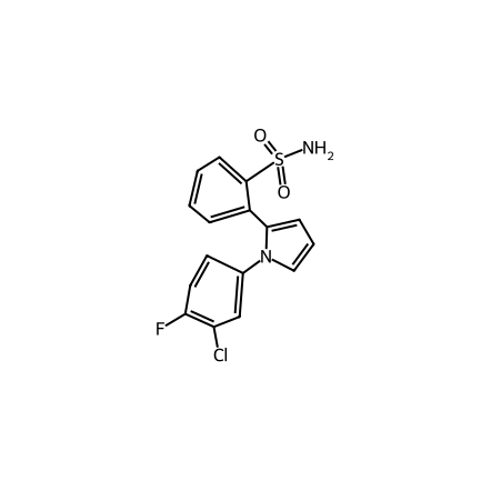 NS(=O)(=O)c1ccccc1-c1cccn1-c1ccc(F)c(Cl)c1